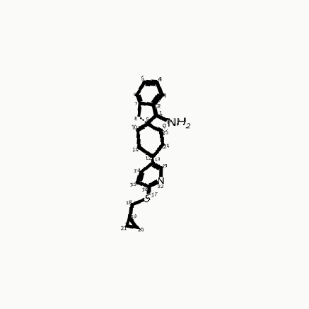 NC1c2ccccc2C[C@]12CC[C@H](c1ccc(SCC3CC3)nc1)CC2